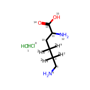 Cl.Cl.[2H]C([2H])(CN)C([2H])([2H])CC(N)C(=O)O